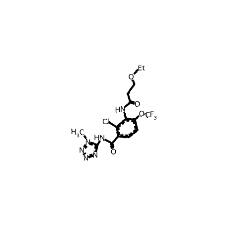 CCOCCC(=O)Nc1c(OC(F)(F)F)ccc(C(=O)Nc2nnnn2C)c1Cl